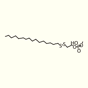 CCCCCCCCCCCCCCCCSSCCOP(=O)(O)OC